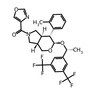 Cc1ccccc1[C@@H]1[C@@H](O[C@H](C)c2cc(C(F)(F)F)cc(C(F)(F)F)c2)OC[C@@H]2CN(C(=O)c3cocn3)C[C@H]21